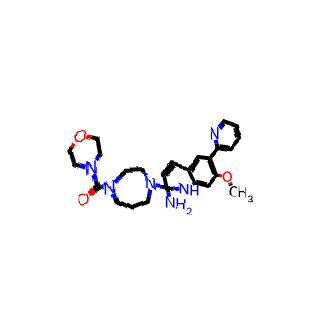 COc1cc2c(cc1-c1ccccn1)C=CC(N)(N1CCCN(C(=O)N3CCOCC3)CC1)N2